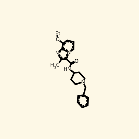 CCOc1cccn2c(C(=O)NC3CCN(Cc4ccccc4)CC3)c(C)nc12